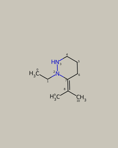 CCN1NCCCC1=C(C)C